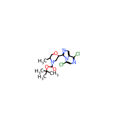 CC1COC(c2ncc3c(Cl)ncc(Cl)n23)CN1C(=O)OC(C)(C)C